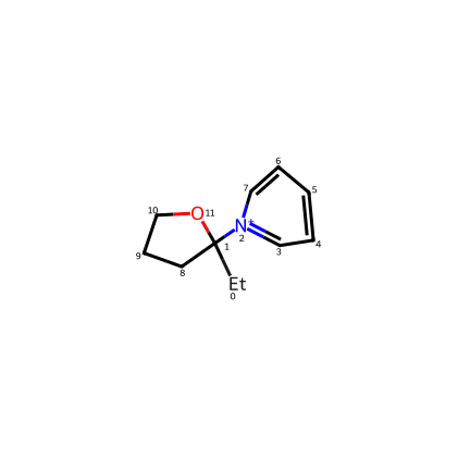 CCC1([n+]2ccccc2)CCCO1